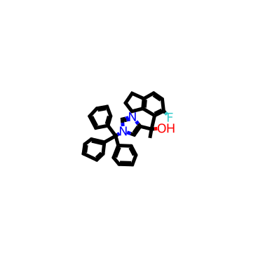 CC(O)(c1cn(C(c2ccccc2)(c2ccccc2)c2ccccc2)cn1)c1c(F)ccc2c1CCC2